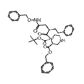 CC(C)(C)OC(=O)[N@@+]1(C(=O)[C@H](CCc2ccccc2)CC(=O)NOCc2ccccc2)CCNCC1C(=O)OCc1ccccc1